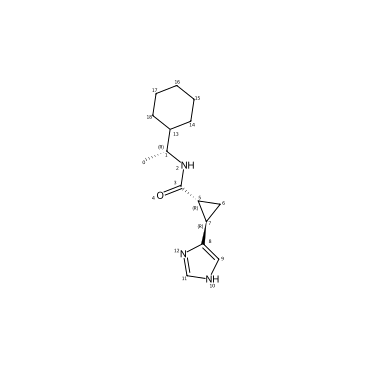 C[C@@H](NC(=O)[C@@H]1C[C@H]1c1c[nH]cn1)C1CCCCC1